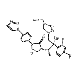 CC(=O)OCN1[C+]=NN(C[C@@](O)(c2ccc(F)cc2F)[C@@H](C)N2CCN(c3ccc(-n4ccnn4)cc3)C2=O)C1.[Cl-]